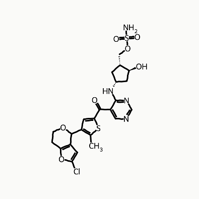 Cc1sc(C(=O)c2cncnc2N[C@@H]2C[C@H](COS(N)(=O)=O)[C@@H](O)C2)cc1C1OCCc2oc(Cl)cc21